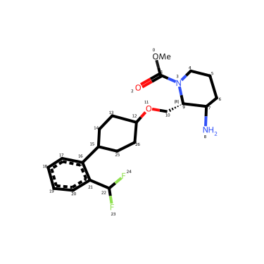 COC(=O)N1CCCC(N)[C@@H]1COC1CCC(c2ccccc2C(F)F)CC1